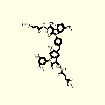 C/C(NNC(=O)CCC(=O)O)=C1/C(=O)N(c2ccc(Cc3cc4c(cc3C(F)(F)F)N(c3cc(C)cc(C)c3)C(=O)/C4=C\NNC(=O)CCC(N)=O)cc2)c2cc(C(F)(F)F)ccc21